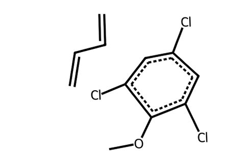 C=CC=C.COc1c(Cl)cc(Cl)cc1Cl